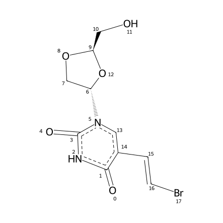 O=c1[nH]c(=O)n([C@@H]2CO[C@@H](CO)O2)cc1/C=C/Br